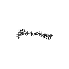 O=C(COc1cccc2c1C(=O)N(C1CCC(=O)NC1=O)C2=O)NCCCN1CCN(c2ccc(C(=O)N3CCC[C@@H](Nc4ncc(Cl)c(-c5c[nH]c6ccccc56)n4)C3)cc2)CC1